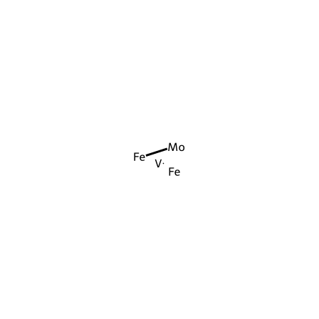 [Fe].[Fe][Mo].[V]